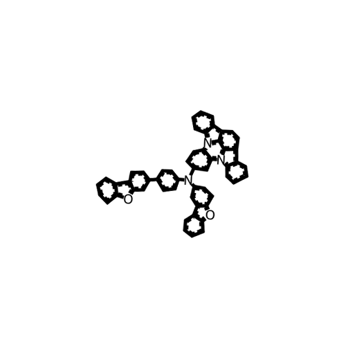 c1ccc2c(c1)oc1cc(-c3ccc(N(c4ccc5oc6ccccc6c5c4)c4ccc5c(c4)n4c6ccccc6c6ccc7c8ccccc8n5c7c64)cc3)ccc12